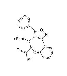 CCCCCC(c1c(-c2ccccc2)noc1-c1ccccc1)N(O)C(=O)C(C)C